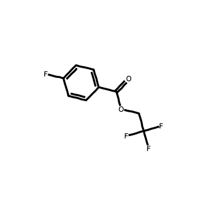 O=C(OCC(F)(F)F)c1ccc(F)cc1